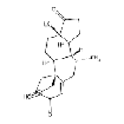 C#CC[C@]12CCC(=O)C=C1C[C@@H](C)[C@@H]1[C@@H]2CC[C@]2(C)C(=O)CC[C@@H]12